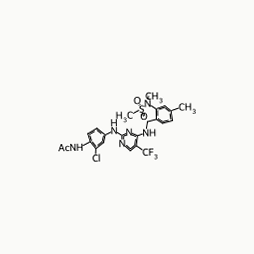 CC(=O)Nc1ccc(Nc2ncc(C(F)(F)F)c(NCc3ccc(C)cc3N(C)S(C)(=O)=O)n2)cc1Cl